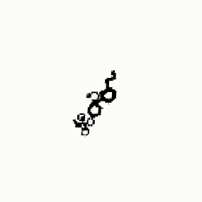 CCCc1cccc(C2(OC)CCC(OS(=O)(=O)CC)CC2)c1